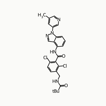 Cc1cncc(-n2ncc3c(NC(=O)c4c(Cl)ccc(CNC(=O)C(C)(C)C)c4Cl)cccc32)c1